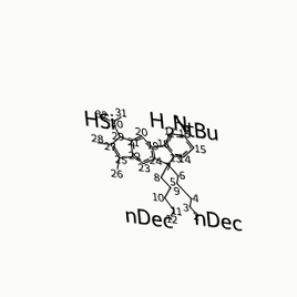 CC(C)(C)N.CCCCCCCCCCCCCCC1(CCCCCCCCCCCCCC)c2ccccc2-c2cc3c(cc21)C(C)=C(C)C3[SiH](C)C